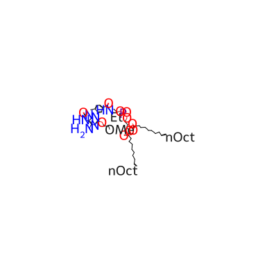 CCCCCCCC/C=C/CCCCCCCC(=O)OCC(COP(=O)(CC)OCCNC(=O)c1ccc(Cn2c(=O)[nH]c3c(N)nc(OCCOC)nc32)cc1)OC(=O)CCCCCCC/C=C/CCCCCCCC